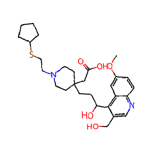 COc1ccc2ncc(CO)c(C(O)CCC3(CC(=O)O)CCN(CCSC4CCCC4)CC3)c2c1